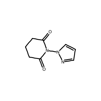 O=C1CCCC(=O)N1n1cccn1